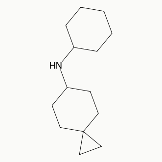 C1CCC(NC2CCC3(CC2)CC3)CC1